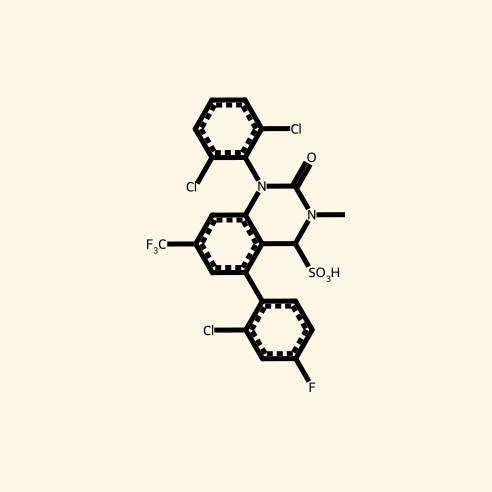 CN1C(=O)N(c2c(Cl)cccc2Cl)c2cc(C(F)(F)F)cc(-c3ccc(F)cc3Cl)c2C1S(=O)(=O)O